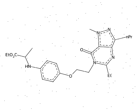 CCCc1nn(C)c2c(=O)n(CCOc3ccc(NC(C)C(=O)OCC)cc3)c(CC)nc12